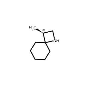 C[C@H]1CNC12CCCCC2